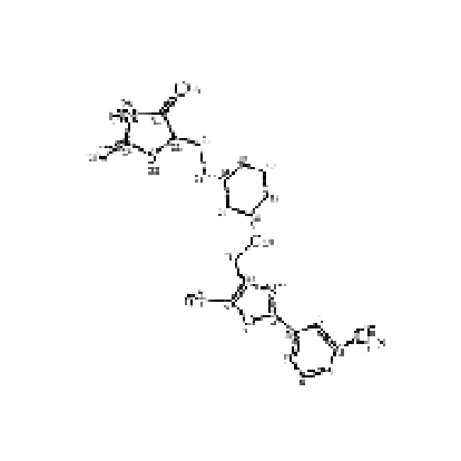 CC(C)c1oc(-c2cccc(C(F)(F)F)c2)nc1CO[C@H]1CCC[C@@H](CCC2SC(=O)NC2=O)C1